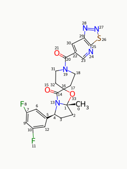 C[C@@]12CC[C@@H](c3cc(F)cc(F)c3)N1C(=O)C1(CCN(C(=O)c3cnc4snnc4c3)CC1)O2